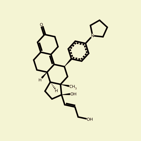 C[C@]12C[C@H](c3ccc(N4CCCC4)cc3)C3=C4CCC(=O)C=C4CC[C@H]3[C@@H]1CC[C@@]2(O)/C=C/CO